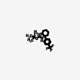 CC(C)(C)OC(=O)N[C@@]1(c2ccc(C(F)(F)F)cc2)CCCCC1=O